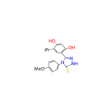 COc1ccc(-n2c(-c3cc(C(C)C)c(O)cc3O)n[nH]c2=S)cc1